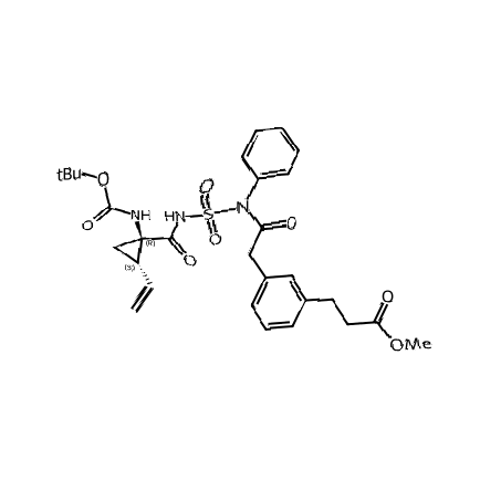 C=C[C@@H]1C[C@]1(NC(=O)OC(C)(C)C)C(=O)NS(=O)(=O)N(C(=O)Cc1cccc(CCC(=O)OC)c1)c1ccccc1